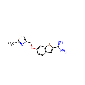 Cc1nc(COc2ccc3cc(C(=N)N)sc3c2)cs1